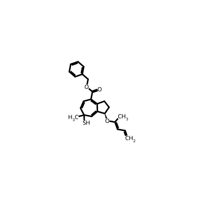 C=C/C=C(\C)O[C@@H]1CCC2=C(C(=O)OCc3ccccc3)C=CC(C)(S)C=C21